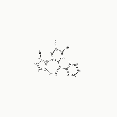 Fc1cc2c(cc1Br)C(c1ccccn1)=NCc1nnc(Br)n1-2